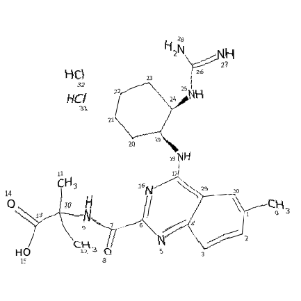 Cc1ccc2nc(C(=O)NC(C)(C)C(=O)O)nc(N[C@H]3CCCC[C@H]3NC(=N)N)c2c1.Cl.Cl